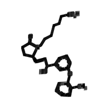 Cc1ccccc1Oc1cccc(C(O)/C=C/[C@H]2CCC(=O)N2CCCCCCC(=O)O)c1